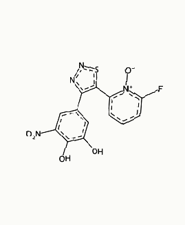 O=[N+]([O-])c1cc(-c2nnsc2-c2cccc(F)[n+]2[O-])cc(O)c1O